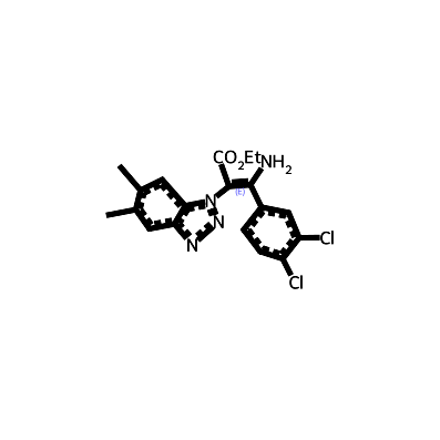 CCOC(=O)/C(=C(\N)c1ccc(Cl)c(Cl)c1)n1nnc2cc(C)c(C)cc21